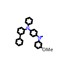 COc1cccc(N(C)c2ccc(N(c3ccccc3)c3cccc(-c4ccccc4)c3)cc2)c1